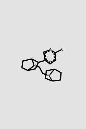 Clc1ccc(C2CC3CCC2N3CCN2C3CCC2CC3)cn1